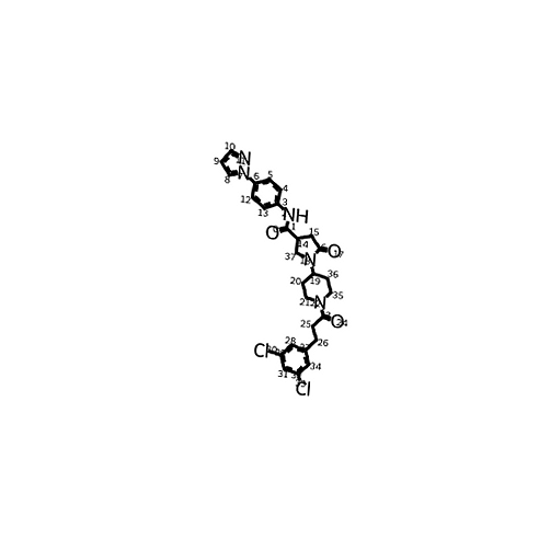 O=C(Nc1ccc(-n2cccn2)cc1)C1CC(=O)N(C2CCN(C(=O)CCc3cc(Cl)cc(Cl)c3)CC2)C1